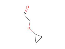 O=[C]COC1CC1